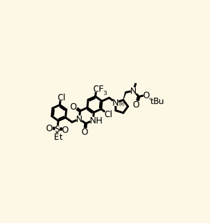 CCS(=O)(=O)c1ccc(Cl)cc1Cn1c(=O)[nH]c2c(Cl)c(CN3CCC[C@@H]3CN(C)C(=O)OC(C)(C)C)c(C(F)(F)F)cc2c1=O